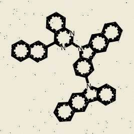 c1ccc2cc(-c3nc(-n4c5ccc(-n6c7ccccc7c7cc8ccccc8cc76)cc5c5cc6ccccc6cc54)nc4ccccc34)ccc2c1